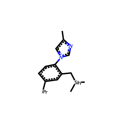 Cc1cn(-c2ccc(C(C)C)cc2C[SiH](C)C)cn1